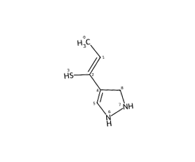 C/C=C(\S)C1=CNNC1